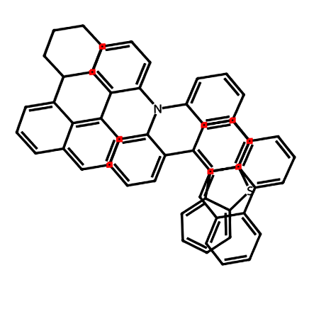 c1cc(-c2cccc3c2ccc2ccccc23)cc(N(c2ccccc2-c2cccc3cccc(C4CCCCC4)c23)c2ccccc2-c2cccc3sc4ccccc4c23)c1